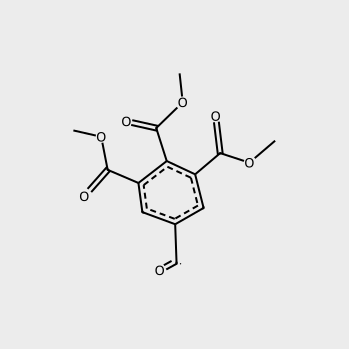 COC(=O)c1cc([C]=O)cc(C(=O)OC)c1C(=O)OC